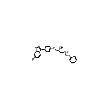 OC(CNCCc1ccccc1)COc1ccc(-c2noc3cc(F)ccc23)cc1